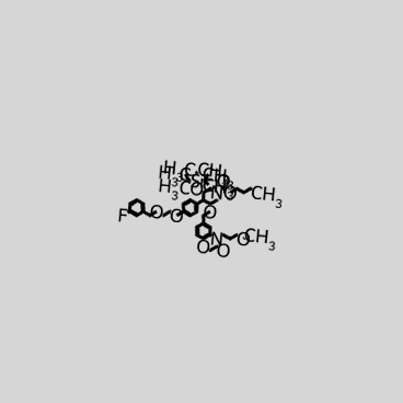 CCCCOC(=O)N1CC(OCc2ccc3c(c2)N(CCCOC)C(=O)CO3)C(c2ccc(OCCOCc3cccc(F)c3)cc2)C(O[Si](C(C)C)(C(C)C)C(C)C)C1